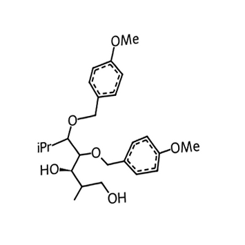 COc1ccc(COC(C(C)C)C(OCc2ccc(OC)cc2)[C@H](O)C(C)CO)cc1